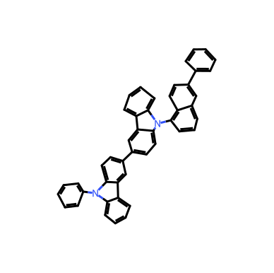 c1ccc(-c2ccc3c(-n4c5ccccc5c5cc(-c6ccc7c(c6)c6ccccc6n7-c6ccccc6)ccc54)cccc3c2)cc1